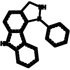 c1ccc(N2NCc3ccc4[nH]c5ccccc5c4c32)cc1